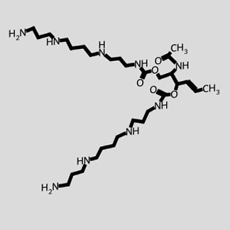 C/C=C/C(OC(=O)NCCCNCCCCNCCCN)C(COC(=O)NCCCNCCCCNCCCN)NC(C)=O